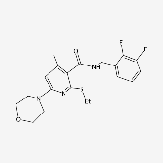 CCSc1nc(N2CCOCC2)cc(C)c1C(=O)NCc1cccc(F)c1F